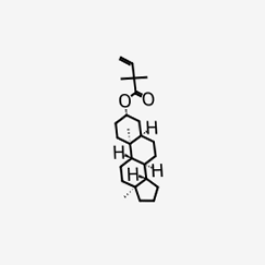 C=CC(C)(C)C(=O)O[C@H]1CC[C@@]2(C)[C@H](CC[C@H]3[C@@H]4CCC[C@@]4(C)CC[C@@H]32)C1